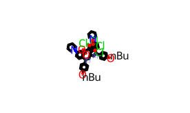 CCCCOc1ccc(/C(=C/C2(/C=C(/c3ccc(OCCCC)cc3)c3ccc(N4CCCCC4)cc3)OC(=O)c3c(Cl)c(Cl)c(Cl)c(Cl)c32)c2ccc(N3CCCCC3)cc2)cc1